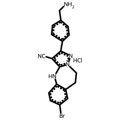 Cl.N#Cc1c(-c2ccc(CN)cc2)nn2c1Nc1ccc(Br)cc1CC2